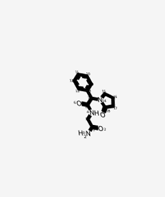 NC(=O)CNC(=O)C(c1ccccc1)N1CCCC1=O